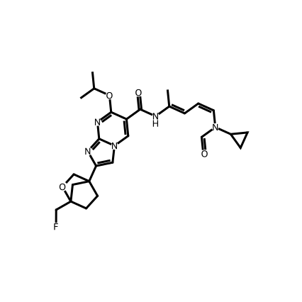 C/C(=C\C=C/N(C=O)C1CC1)NC(=O)c1cn2cc(C34CCC(CF)(C3)OC4)nc2nc1OC(C)C